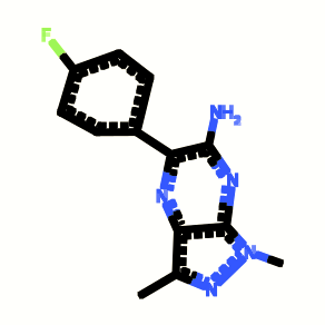 Cc1nn(C)c2nc(N)c(-c3ccc(F)cc3)nc12